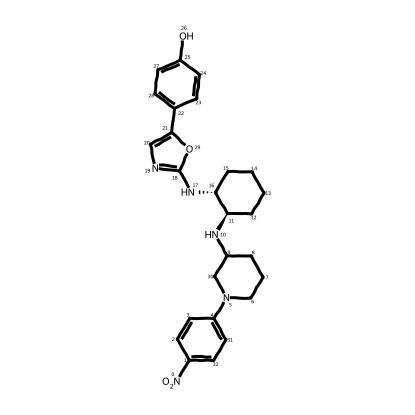 O=[N+]([O-])c1ccc(N2CCCC(N[C@@H]3CCCC[C@H]3Nc3ncc(-c4ccc(O)cc4)o3)C2)cc1